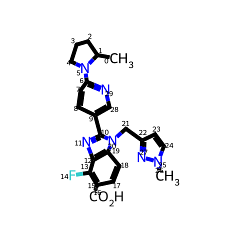 CC1CCCN1c1ccc(-c2nc3c(F)c(C(=O)O)ccc3n2Cc2ccn(C)n2)cn1